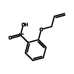 C=CCOc1ccccc1[N+](=O)O